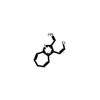 CC/C=C\c1c(C=N)sc2c1C=CCC=C2